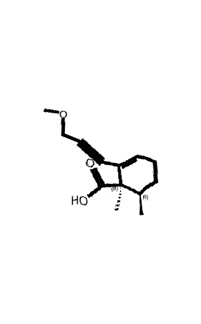 COCC#CC1=CCC[C@@H](C)[C@@]1(C)C(=O)O